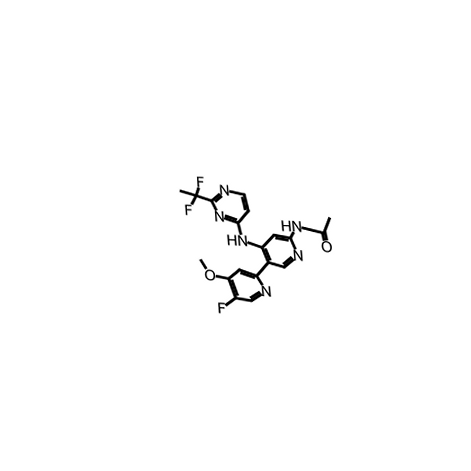 COc1cc(-c2cnc(NC(C)=O)cc2Nc2ccnc(C(C)(F)F)n2)ncc1F